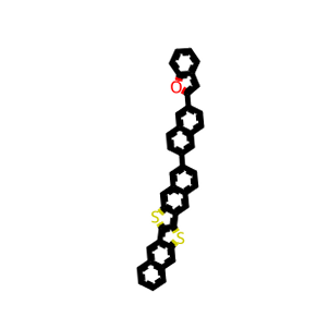 c1ccc2cc3c(cc2c1)sc1c2cc4ccc(-c5ccc6cc(-c7cc8ccccc8o7)ccc6c5)cc4cc2sc31